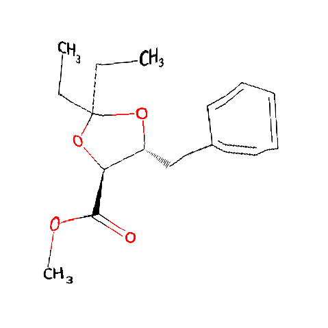 CCC1(CC)O[C@H](C(=O)OC)[C@@H](Cc2ccccc2)O1